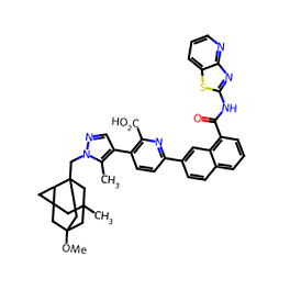 COC12CC3(C)CC4(CC4C(Cn4ncc(-c5ccc(-c6ccc7cccc(C(=O)Nc8nc9ncccc9s8)c7c6)nc5C(=O)O)c4C)(C3)C1)C2